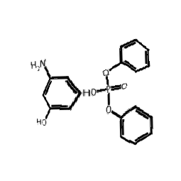 Nc1cccc(O)c1.O=P(O)(Oc1ccccc1)Oc1ccccc1